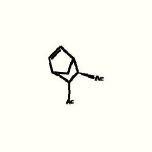 CC(=O)C1C2C=CC(C2)[C@H]1C(C)=O